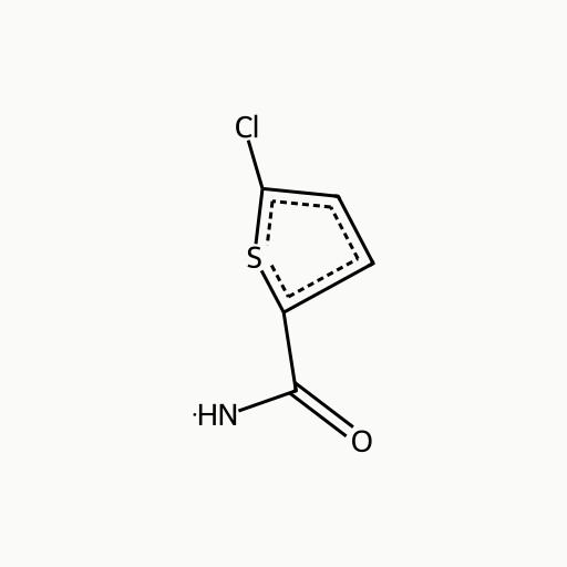 [NH]C(=O)c1ccc(Cl)s1